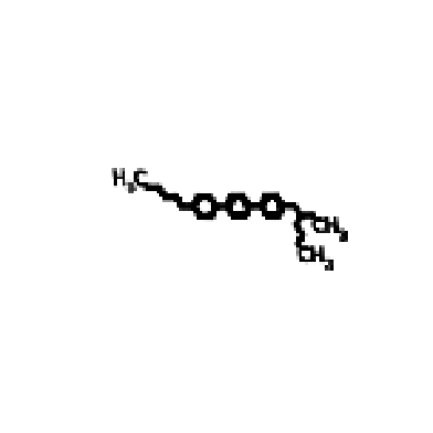 CCCCCCC1CCC(c2ccc(-c3ccc(CC(CC)CCCC)cc3)cc2)CC1